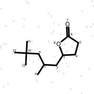 CC(CC1CCC(=O)O1)CC(C)(C)C